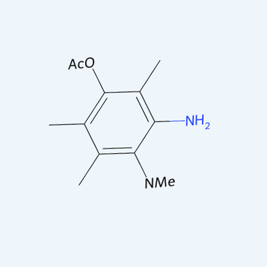 CNc1c(C)c(C)c(OC(C)=O)c(C)c1N